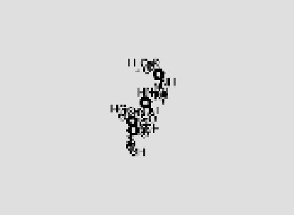 C=CS(=O)(=O)c1ccc(Nc2nc(Cl)nc(Nc3ccc(N=Nc4cc5c(S(=O)(=O)O)cc(SOOO)cc5cc4S(=O)(=O)O)c(NC(C)=O)c3)n2)cc1